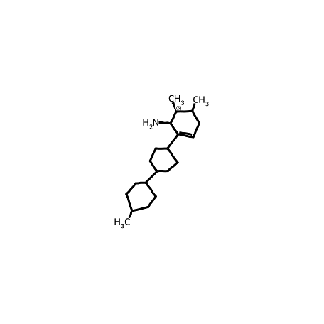 CC1CCC(C2CCC(C3=CCC(C)[C@H](C)C3N)CC2)CC1